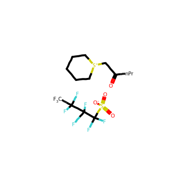 CCCC(=O)C[S+]1CCCCC1.O=S(=O)([O-])C(F)(F)C(F)(F)C(F)(F)C(F)(F)F